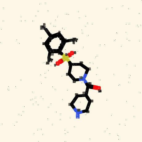 CC(C)c1cc(C(C)C)c(S(=O)(=O)C2CCN(C(=O)C3CCNCC3)CC2)c(C(C)C)c1